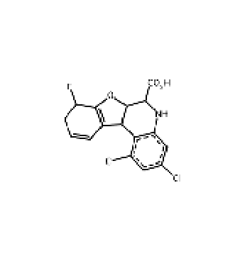 O=C(O)C1Nc2cc(Cl)cc(Cl)c2C2C3=C(OC12)C(F)CC=C3